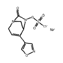 O=C1N2CC=C(c3cnoc3)C(C2)N1OS(=O)(=O)[O-].[Na+]